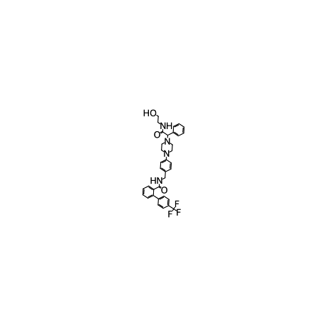 O=C(NCc1ccc(N2CCN(C(C(=O)NCCO)c3ccccc3)CC2)cc1)c1ccccc1-c1ccc(C(F)(F)F)cc1